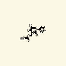 CCCC(=O)OCn1c(=O)c(F)cn(C2CCCO2)c1=O